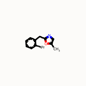 Cc1cnc(Cc2ccccc2C(C)C)o1